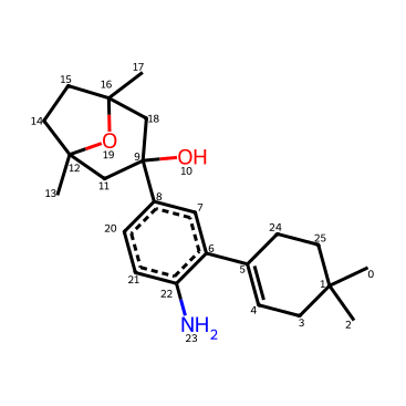 CC1(C)CC=C(c2cc(C3(O)CC4(C)CCC(C)(C3)O4)ccc2N)CC1